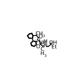 CC[C@@H](O)CN[C@@H](C)C(=O)NN1C(=O)[C@@H](C)c2ccccc2-c2ccccc21